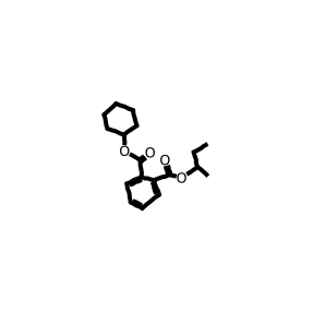 CCC(C)OC(=O)c1ccccc1C(=O)OC1CCCCC1